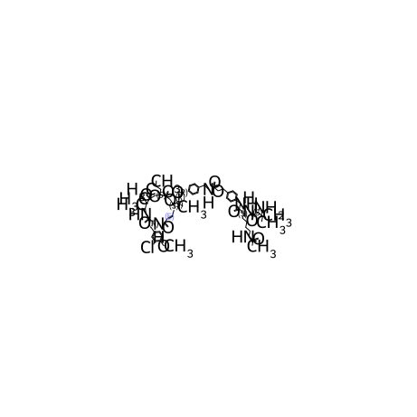 COc1ccc(C[C@H]2NC(=O)/C=C/C[C@@H]([C@H](C)[C@H]3O[C@@H]3c3ccc(CNC(=O)OCc4ccc(NC(=O)[C@H](CCCCNC(C)=O)NC(=O)[C@@H](N)C(C)C)cc4)cc3)OC(=O)[C@H](CC(C)C)OC(=O)C(C)(C)CNC2=O)cc1Cl